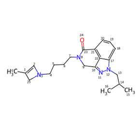 CC1=CN(CCCCN2Cc3nn(CC(C)C)c4cccc(c34)C2=O)C1